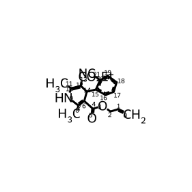 C=CCOC(=O)C1=C(C)NC(C)=C(C(=O)OCC)C1c1ccccc1C#N